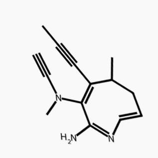 C#CN(C)C1=C(\C#CC)C(C)C/C=C/N=C\1N